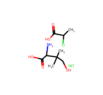 CC(C)(CO)C(N)C(=O)O.CC(Cl)C(=O)O.Cl